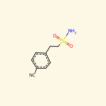 N#Cc1ccc(CCS(N)(=O)=O)cc1